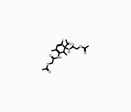 CC(=O)OCC(=O)NC1=C(I)C=C(I)C(NC(=O)COC(C)=O)(C(C)=O)C1I